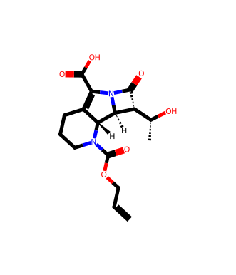 C=CCOC(=O)N1CCCC2=C(C(=O)O)N3C(=O)[C@H]([C@@H](C)O)[C@H]3[C@@H]21